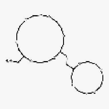 NCC1COCCOCCOCCOCC(OCC2COCCOCCOCCO2)OCCO1